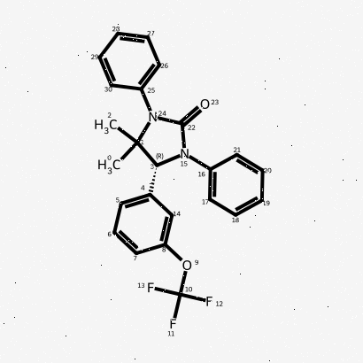 CC1(C)[C@@H](c2cccc(OC(F)(F)F)c2)N(c2ccccc2)C(=O)N1c1ccccc1